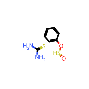 NC(N)=S.O=[SH]Oc1ccccc1